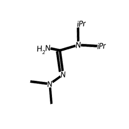 CC(C)N(C(N)=NN(C)C)C(C)C